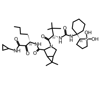 CCCC[C@H](NC(=O)C1C2C(CN1C(=O)[C@@H](NC(=O)NC1([C@H]3CCCS3(O)O)CCCCC1)C(C)(C)C)C2(C)C)C(=O)C(=O)NC1CC1